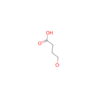 [O]CCCC(=O)O